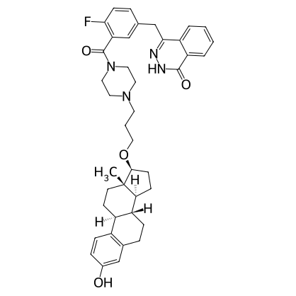 C[C@]12CC[C@@H]3c4ccc(O)cc4CC[C@H]3[C@@H]1CC[C@@H]2OCCCN1CCN(C(=O)c2cc(Cc3n[nH]c(=O)c4ccccc34)ccc2F)CC1